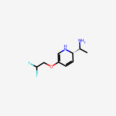 CC(N)[C@@H]1C=CC(OCC(F)F)=CN1